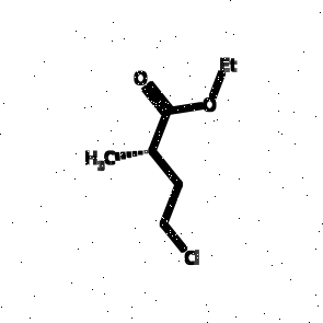 CCOC(=O)[C@@H](C)CCCl